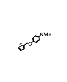 CNc1ccc(OCc2cccs2)cc1